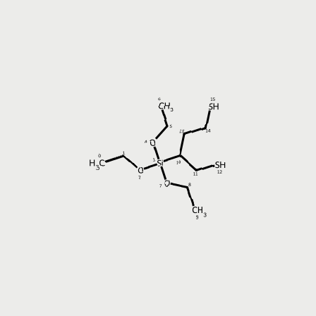 CCO[Si](OCC)(OCC)C(CS)CCS